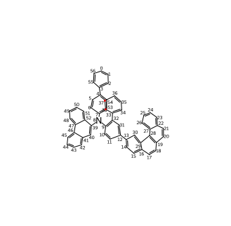 c1ccc(-c2ccc(N(c3ccc(-c4ccc5ccc6ccc7ccccc7c6c5c4)cc3-c3ccccc3)c3cc4ccccc4c4ccccc34)cc2)cc1